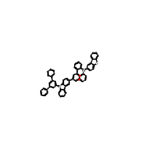 c1ccc(-c2cc(-c3ccccc3)cc(-n3c4ccccc4c4cc(-c5cccc(-c6ccccc6N(c6ccccc6)c6ccc7sc8ccccc8c7c6)c5)ccc43)c2)cc1